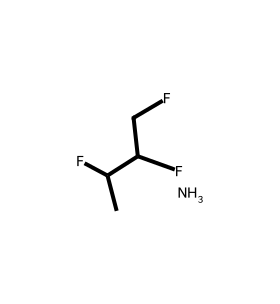 CC(F)C(F)CF.N